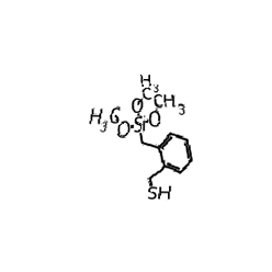 CO[Si](Cc1ccccc1CS)(OC)OC